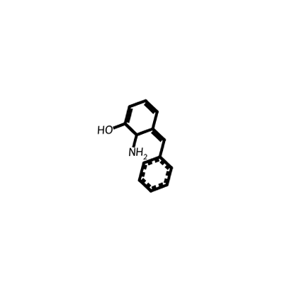 NC1C(O)=CC=CC1=Cc1ccccc1